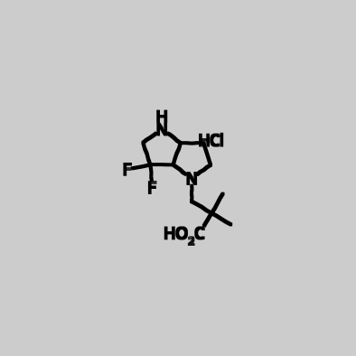 CC(C)(CN1CCC2NCC(F)(F)C21)C(=O)O.Cl